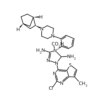 Cc1csc2c(N3N=C(N)[N+](C(=O)O)(c4ccccc4N4CCN([C@H]5C[C@@H]6CC[C@H]5C6)CC4)C3N)nc(Cl)nc12